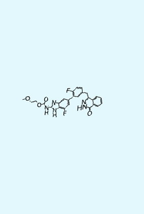 COCCOC(=O)Nc1nc2cc(-c3cc(Cc4n[nH]c(=O)c5ccccc45)ccc3F)cc(F)c2[nH]1